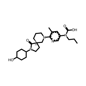 CCCN(C(=O)O)c1cnc(N2CCC[C@]3(CCN(C4CCC(O)CC4)C3=O)C2)c(C)c1